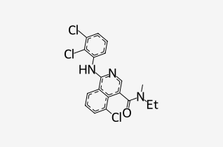 CCN(C)C(=O)c1cnc(Nc2cccc(Cl)c2Cl)c2cccc(Cl)c12